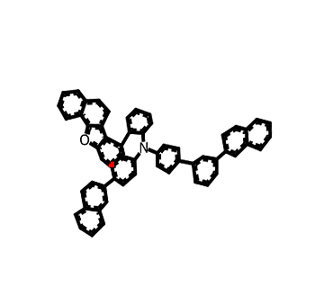 c1cc(-c2ccc(N(c3ccc(-c4ccc5ccccc5c4)cc3)c3ccccc3-c3cccc4oc5c6ccccc6ccc5c34)cc2)cc(-c2ccc3ccccc3c2)c1